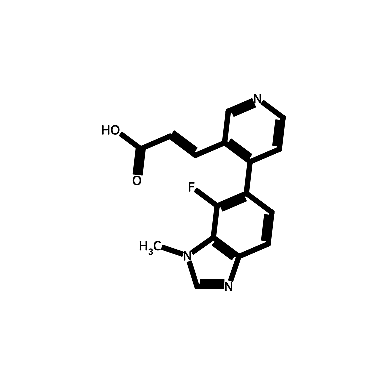 Cn1cnc2ccc(-c3ccncc3C=CC(=O)O)c(F)c21